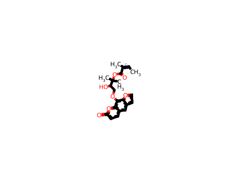 C/C=C(/C)C(=O)OC(C)(C)C(O)COc1c2occc2cc2ccc(=O)oc12